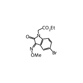 CCOC(=O)CN1C(=O)/C(=N/OC)c2cc(Br)ccc21